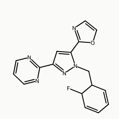 FC1C=CC=CC1Cn1nc(-c2ncccn2)cc1-c1ncco1